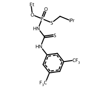 CCOP(=O)(NC(=S)Nc1cc(C(F)(F)F)cc(C(F)(F)F)c1)SCC(C)C